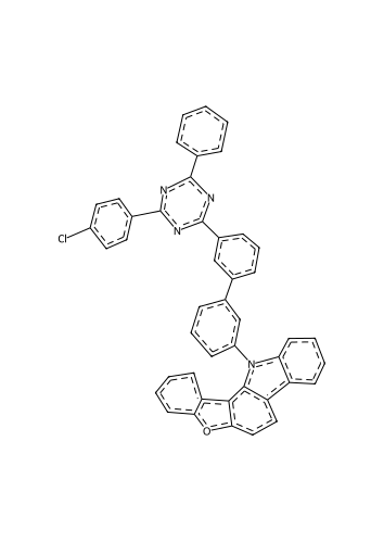 Clc1ccc(-c2nc(-c3ccccc3)nc(-c3cccc(-c4cccc(-n5c6ccccc6c6ccc7oc8ccccc8c7c65)c4)c3)n2)cc1